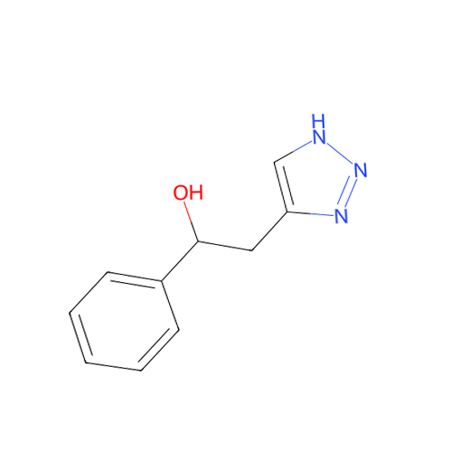 OC(Cc1c[nH]nn1)c1ccccc1